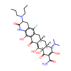 CCCN(CCC)C1Cc2c(F)c3c(c(O)c2NC1=O)C(=O)C1=C(O)[C@@]2(O)C(=O)C(C(N)=O)=C(O)[C@H](N(C)C)[C@H]2C[C@H]1C3